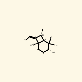 C/C=C1\[C@H]2CC[C@@H](C)C(F)(F)C2[C@H]1C